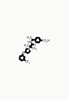 C[C@H](NC(=O)C(C)(C)N1CC[C@@H](Oc2cccc(C(F)(F)F)c2)C1)c1ccc(C(=O)O)cc1